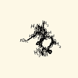 CCCCCCCCCCCCCCCC(=O)NCC(=O)C(=O)N[C@@H](CO)C(=O)N[C@@H](CC(N)=O)C(=O)N[C@@H](CCCCN)C(=O)N[C@H](C(=O)N[C@@H](CCCC)C(=O)N[C@H]1CCC(=O)CNCCCC[C@@H](C(N)=O)NC(=O)[C@H](Cc2c[nH]c3ccccc23)NC(=O)[C@H](CCCNC(=N)N)NC(=O)[C@@H](Cc2ccccc2)NC(=O)[C@@H]2CC(F)CN2C1=O)C(C)O